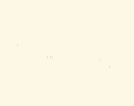 CCCC(=O)Nc1ccc(OC(=O)N(C)c2ccccc2)cc1